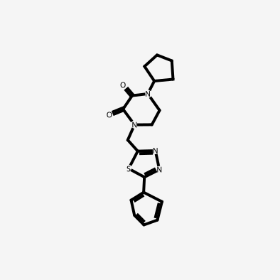 O=C1C(=O)N(C2CCCC2)CCN1Cc1nnc(-c2ccccc2)s1